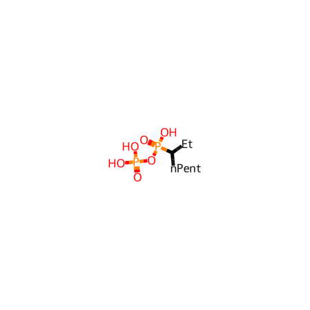 CCCCCC(CC)P(=O)(O)OP(=O)(O)O